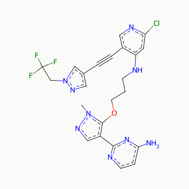 Cn1ncc(-c2nccc(N)n2)c1OCCCNc1cc(Cl)ncc1C#Cc1cnn(CC(F)(F)F)c1